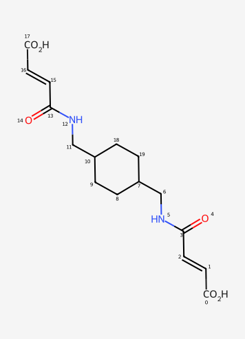 O=C(O)/C=C/C(=O)NCC1CCC(CNC(=O)/C=C/C(=O)O)CC1